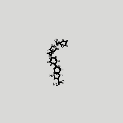 O=C(O)C1CNc2cc(-c3ccc([C@@H]4CC45CCN(C(=O)[C@H]4CCCO4)CC5)cc3)ccc2C1